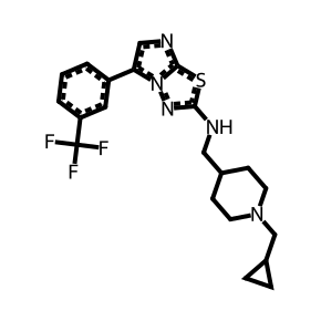 FC(F)(F)c1cccc(-c2cnc3sc(NCC4CCN(CC5CC5)CC4)nn23)c1